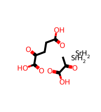 CC(=O)C(=O)O.O=C(O)CCC(=O)C(=O)O.[SrH2].[SrH2]